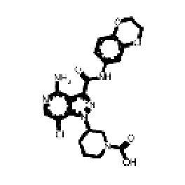 Nc1ncc(Cl)c2c1c(C(=O)Nc1ccc3c(c1)OCCO3)nn2C1CCCN(C(=O)O)C1